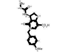 COc1ccc(Cn2cc(C(=O)O)c3c(c2=O)[C@@H](NC(=O)OC(C)(C)C)CS3)cc1